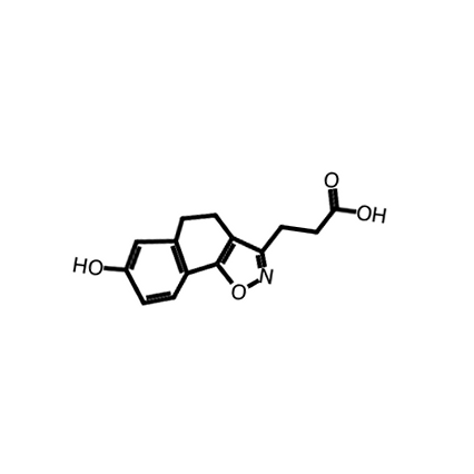 O=C(O)CCc1noc2c1CCc1cc(O)ccc1-2